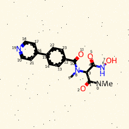 CNC(=O)C(C(=O)NO)N(C)C(=O)c1ccc(-c2ccncc2)cc1